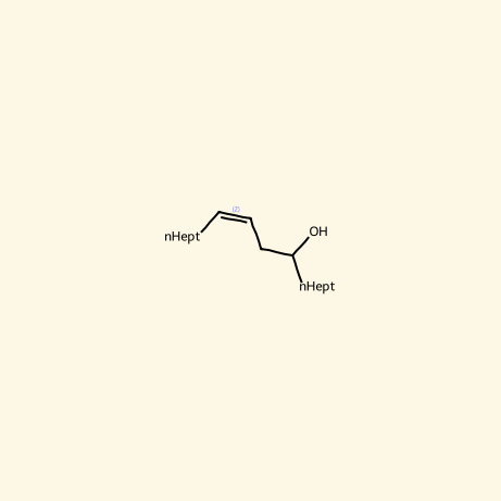 [CH2]CCCCCC/C=C\CC(O)CCCCCCC